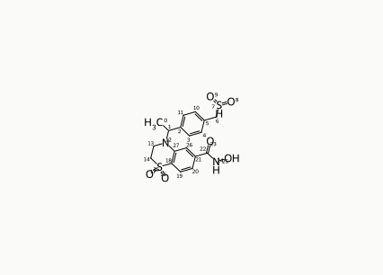 CC(c1ccc(C[SH](=O)=O)cc1)N1CCS(=O)(=O)c2ccc(C(=O)NO)cc21